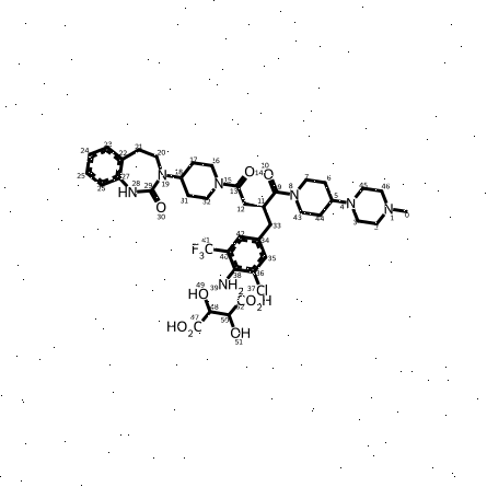 CN1CCN(C2CCN(C(=O)[C@H](CC(=O)N3CCC(N4CCc5ccccc5NC4=O)CC3)Cc3cc(Cl)c(N)c(C(F)(F)F)c3)CC2)CC1.O=C(O)C(O)C(O)C(=O)O